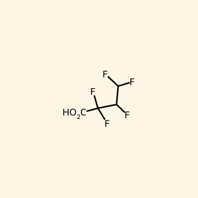 O=C(O)C(F)(F)C(F)C(F)F